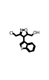 OCC1ON=C(CCl)C1c1csc2ccccc12